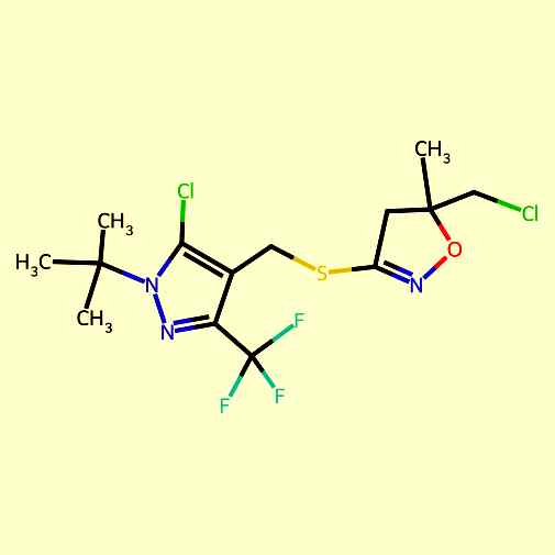 CC1(CCl)CC(SCc2c(C(F)(F)F)nn(C(C)(C)C)c2Cl)=NO1